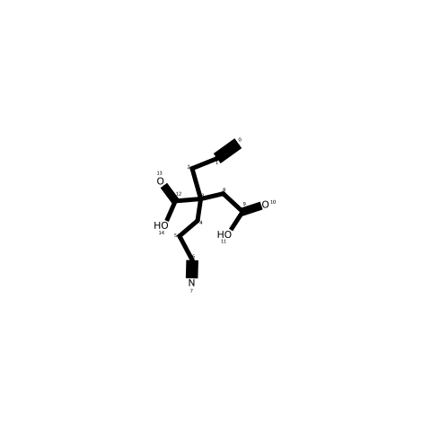 C#CCC(CCC#N)(CC(=O)O)C(=O)O